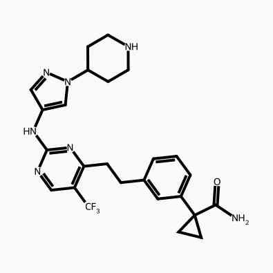 NC(=O)C1(c2cccc(CCc3nc(Nc4cnn(C5CCNCC5)c4)ncc3C(F)(F)F)c2)CC1